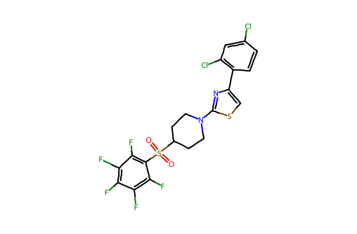 O=S(=O)(c1c(F)c(F)c(F)c(F)c1F)C1CCN(c2nc(-c3ccc(Cl)cc3Cl)cs2)CC1